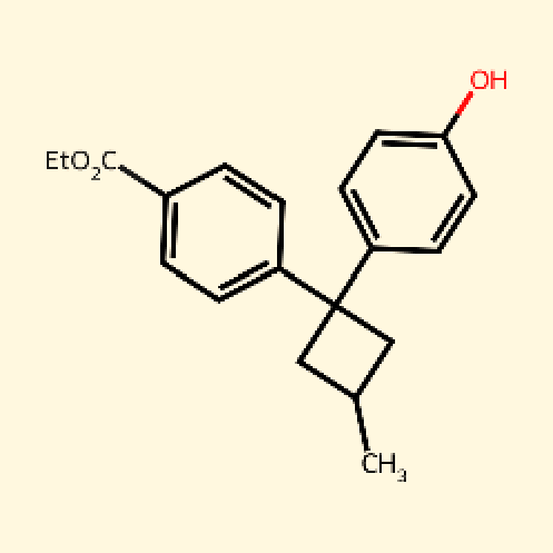 CCOC(=O)c1ccc(C2(c3ccc(O)cc3)CC(C)C2)cc1